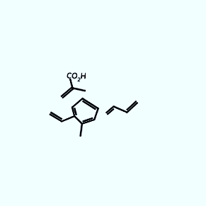 C=C(C)C(=O)O.C=CC=C.C=Cc1ccccc1C